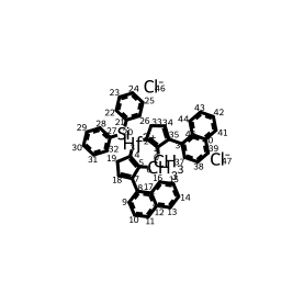 CC1=[C]([Hf+2]([C]2=C(C)C(c3cccc4ccccc34)=CC2)=[Si](c2ccccc2)c2ccccc2)CC=C1c1cccc2ccccc12.[Cl-].[Cl-]